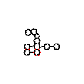 c1ccc(-c2ccc(N(c3ccccc3)c3cc4sc5ccc6ccccc6c5c4cc3N(c3ccccc3)c3ccccc3-c3ccccc3)cc2)cc1